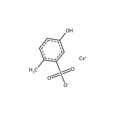 Cc1ccc(O)cc1S(=O)(=O)[O-].[Cs+]